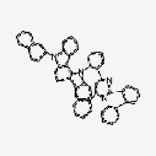 c1ccc(-c2cc(-c3ccccc3-n3c4ccccc4c4ccc5c(c6ccccc6n5-c5ccc6ccccc6c5)c43)nc(-c3ccccc3-c3ccccc3)n2)cc1